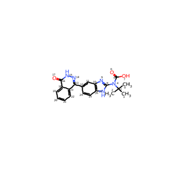 CC(C)(C)N(C(=O)O)c1nc2cc(-c3n[nH]c(=O)c4ccccc34)ccc2[nH]1